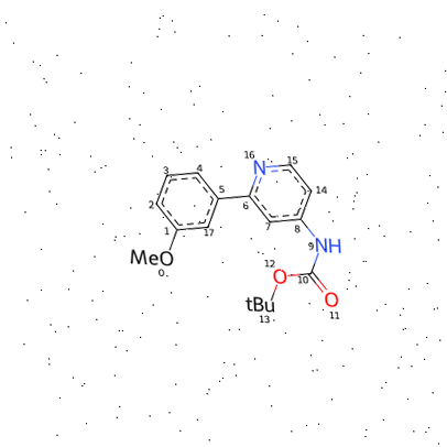 COc1cccc(-c2cc(NC(=O)OC(C)(C)C)ccn2)c1